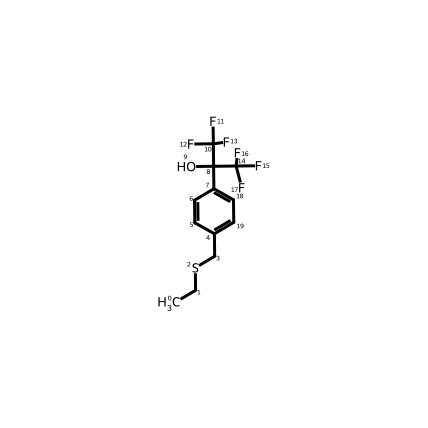 CCSCc1ccc(C(O)(C(F)(F)F)C(F)(F)F)cc1